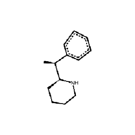 C[C@@H](c1ccccc1)[C@@H]1CCCCN1